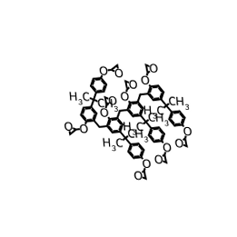 CC(C)(c1ccc(OC2CO2)cc1)c1ccc(OC2CO2)c(Cc2cc(C(C)(C)c3ccc(OC4CO4)cc3)cc(Cc3cc(C(C)(C)c4ccc(OC5CO5)cc4)cc(Cc4cc(C(C)(C)c5ccc(OC6CO6)cc5)ccc4OC4CO4)c3OC3CO3)c2OC2CO2)c1